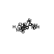 CC(C)CC(=O)N(NC=O)[C@@H](Cc1ccc(-c2cc(NC3=NCCCN3)cc(C(F)(F)F)c2)cc1)C(=O)O